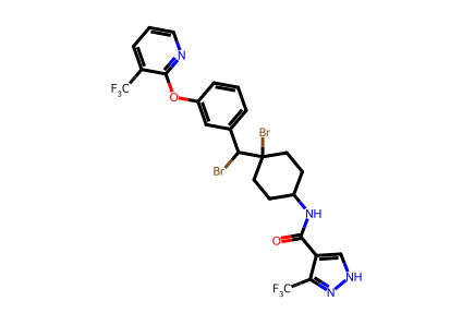 O=C(NC1CCC(Br)(C(Br)c2cccc(Oc3ncccc3C(F)(F)F)c2)CC1)c1c[nH]nc1C(F)(F)F